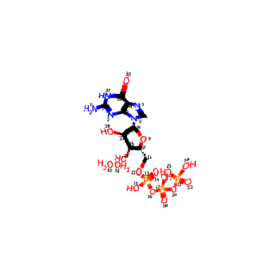 Nc1nc2c(ncn2[C@@H]2O[C@H](COP(=O)(O)OP(=O)(O)OP(=O)(O)O)[C@@H](O)[C@H]2O)c(=O)[nH]1.O.O